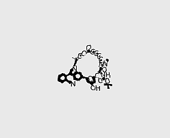 C=NN1CCCCC(=O)OC[C@@H](C)Cn2cc(-c3ccccc3C#N)c3ccc(cc32)-c2cc(O)cc(c2)C[C@H](NC(=O)OC(C)(C)C)C1=O